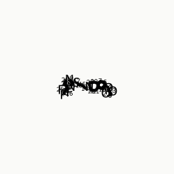 CS(=O)(=O)Oc1ccc2c(c1)CCN(CCCSc1nccc(C(F)(F)F)n1)CC2